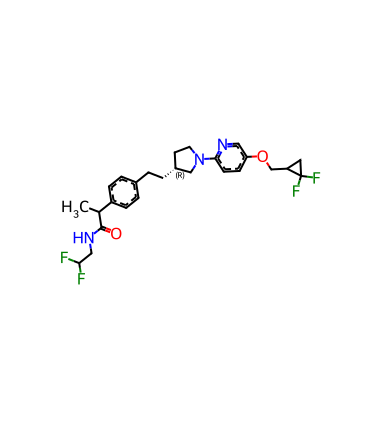 CC(C(=O)NCC(F)F)c1ccc(CC[C@@H]2CCN(c3ccc(OCC4CC4(F)F)cn3)C2)cc1